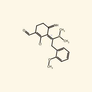 COc1ccccc1C/C(=C1/C(=N)CCC(C=O)=C1Cl)N(C)C